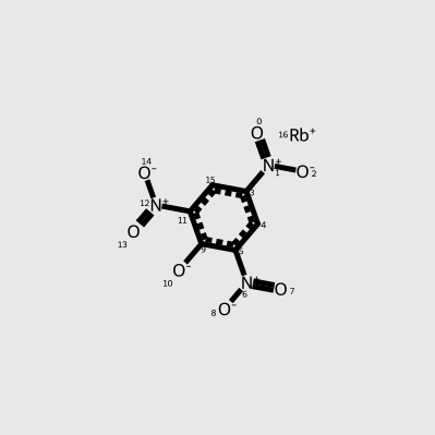 O=[N+]([O-])c1cc([N+](=O)[O-])c([O-])c([N+](=O)[O-])c1.[Rb+]